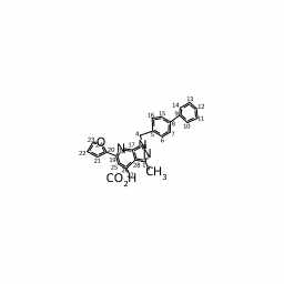 Cc1nn(Cc2ccc(-c3ccccc3)cc2)c2nc(-c3ccco3)cc(C(=O)O)c12